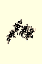 CC1COc2c(N3CCN(C)CC3)c(F)cc3c(=O)c(C(=O)O)cn1c23.CCn1cc(C(=O)O)c(=O)c2cc(F)c(N3CCNC(C)C3)c(F)c21.CCn1cc(C(=O)O)c(=O)c2cc(F)c(N3CCNCC3)cc21.C[C@@H]1CN(c2c(F)c(N)c3c(=O)c(C(=O)O)cn(C4CC4)c3c2F)C[C@H](C)N1